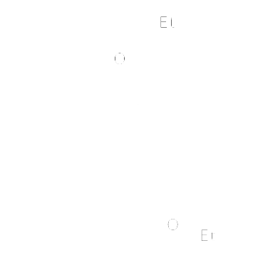 CCOC1C=C(C)C(OCC)c2ccccc21